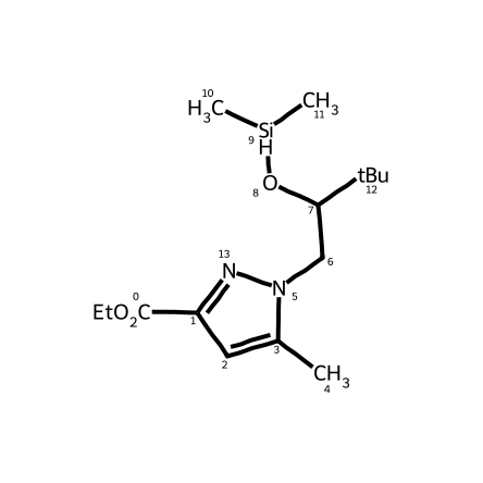 CCOC(=O)c1cc(C)n(CC(O[SiH](C)C)C(C)(C)C)n1